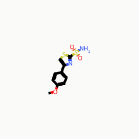 COc1ccc(-c2csc(S(N)(=O)=O)n2)cc1